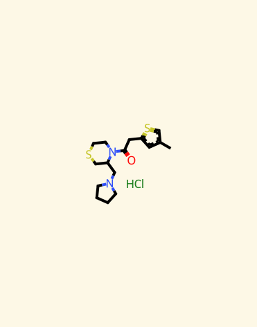 Cc1csc(CC(=O)N2CCSCC2CN2CCCC2)c1.Cl